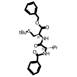 CC(C)[C@H](NC(=O)c1ccccc1)C(=O)N[C@@H](CSC(C)(C)C)C(=O)OCc1ccccc1